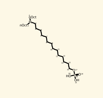 CCCCCCCCN(CCCCCCCC)CCCCCCCCCCCCCCOP(=O)(O)O